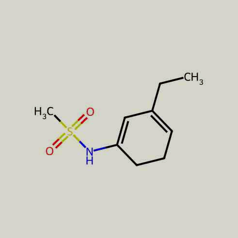 CCC1=CCCC(NS(C)(=O)=O)=C1